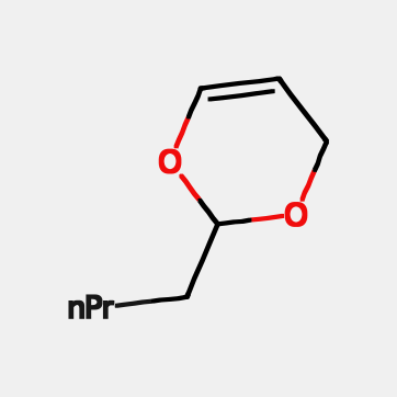 [CH2]CCCC1OC=CCO1